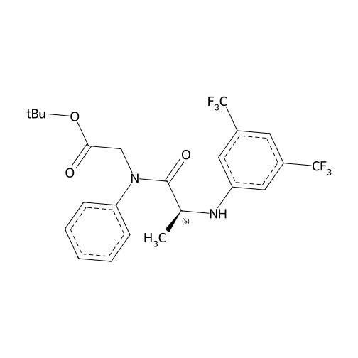 C[C@H](Nc1cc(C(F)(F)F)cc(C(F)(F)F)c1)C(=O)N(CC(=O)OC(C)(C)C)c1ccccc1